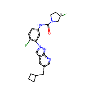 O=C(Nc1ccc(F)c(-n2cc3cc(CC4CCC4)cnc3n2)c1)N1CC[C@@H](F)C1